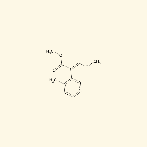 CO/C=C(/C(=O)OC)c1ccccc1C